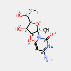 C[C@@H](O)[C@H]1O[C@@](C#N)(n2ccc(N)nc2=O)[C@@H](O)[C@@H]1O